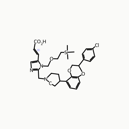 C[Si](C)(C)CCOCn1c(/C=C/C(=O)O)cnc1CN1CCC(c2cccc3c2OCC(c2ccc(Cl)cc2)O3)CC1